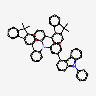 CC1(C)c2ccccc2-c2cc(-c3ccccc3N(c3cccc(-c4cccc5c4c4ccccc4n5-c4ccccc4)c3)c3ccccc3-c3cccc4c3-c3ccccc3C4(C)C)ccc21